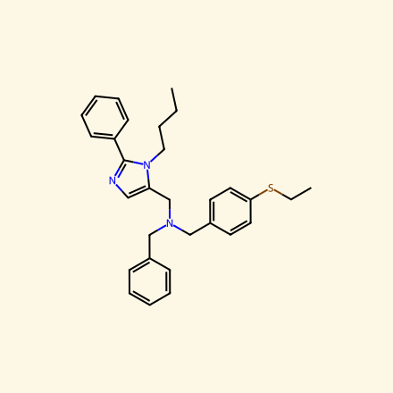 CCCCn1c(CN(Cc2ccccc2)Cc2ccc(SCC)cc2)cnc1-c1ccccc1